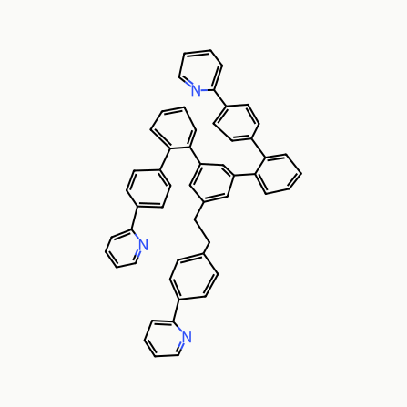 c1ccc(-c2ccc(CCc3cc(-c4ccccc4-c4ccc(-c5ccccn5)cc4)cc(-c4ccccc4-c4ccc(-c5ccccn5)cc4)c3)cc2)nc1